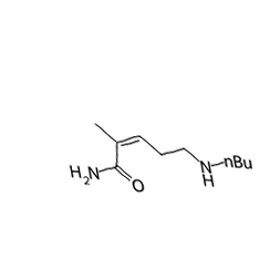 CCCCNCCC=C(C)C(N)=O